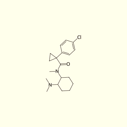 CN(C)C1CCCCC1N(C)C(=O)C1(c2ccc(Cl)cc2)CC1